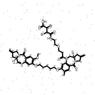 C=C1C[C@H]2CN(C(=O)CCOCCNC(=O)C(Br)C(Br)C(=O)O)c3cc(OCCCCCOc4cc5c(cc4OC)C(=O)N4CC(=C)C[C@H]4C=N5)c(C)cc3C(=O)N2C1